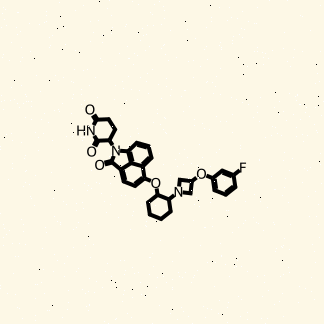 O=C1CCC(N2C(=O)c3ccc(OC4CCCCC4N4CC(Oc5cccc(F)c5)C4)c4cccc2c34)C(=O)N1